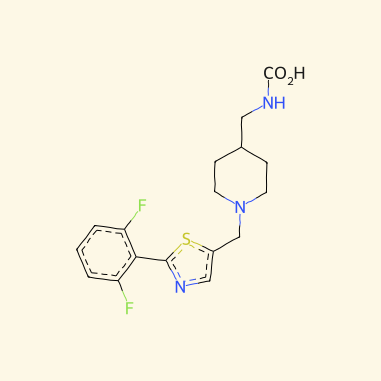 O=C(O)NCC1CCN(Cc2cnc(-c3c(F)cccc3F)s2)CC1